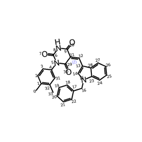 Cc1ccc(N2C(=O)NC(=O)/C(=C/c3cn(Cc4ccccc4)c4ccccc34)C2=O)cc1C